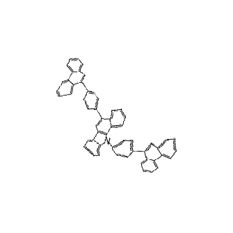 c1ccc2c(c1)cc(-c1ccc(-c3cc4c5ccccc5n(-c5ccc(-c6cc7ccccc7c7ccccc67)cc5)c4c4ccccc34)cc1)c1ccccc12